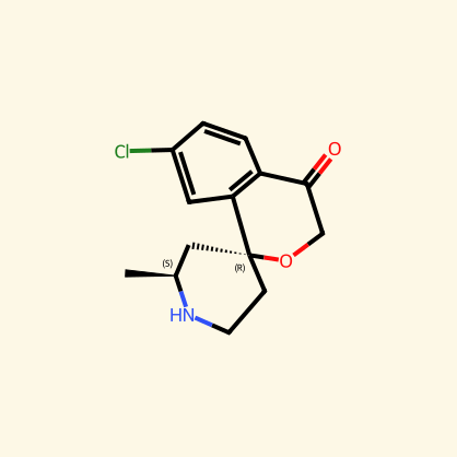 C[C@H]1C[C@@]2(CCN1)OCC(=O)c1ccc(Cl)cc12